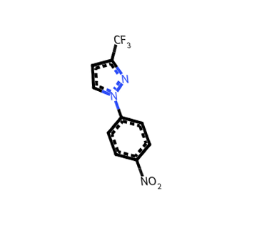 O=[N+]([O-])c1ccc(-n2ccc(C(F)(F)F)n2)cc1